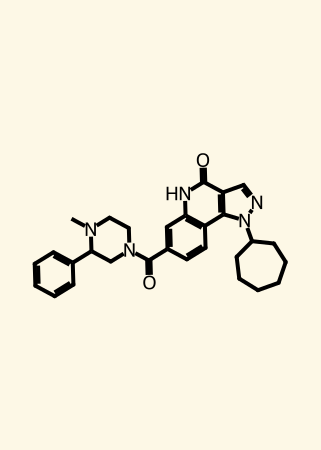 CN1CCN(C(=O)c2ccc3c(c2)[nH]c(=O)c2cnn(C4CCCCCC4)c23)CC1c1ccccc1